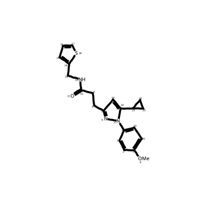 COc1ccc(-n2nc(CCC(=O)NCc3cccs3)cc2C2CC2)cc1